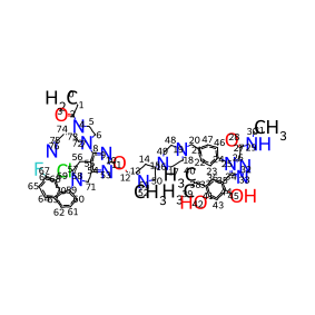 C=CC(=O)N1CCN(c2nc(OC[C@@H]3C[C@H](N4CCN(Cc5ccc(-n6c(C(=O)NCC)nnc6-c6cc(C(C)C)c(O)cc6O)cc5)CC4)CN3C)nc3c2CCN(c2cccc4ccc(F)c(Cl)c24)C3)C[C@@H]1CC#N